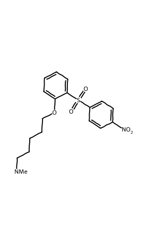 CNCCCCCOc1ccccc1S(=O)(=O)c1ccc([N+](=O)[O-])cc1